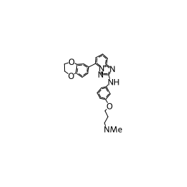 CNCCCOc1cccc(Nc2nc3cccc(-c4ccc5c(c4)OCCO5)n3n2)c1